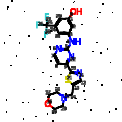 Oc1cc(Nc2nccc(-c3ncc(CN4CCOCC4)s3)n2)cc(C(F)(F)F)c1